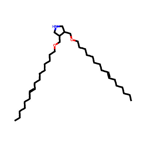 CCCCCCC=CCCCCCCCCOCC1CNCC1COCCCCCCCCC=CCCCCCC